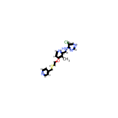 Cc1c(OCCSCc2ccncc2)ccnc1CNc1ncncc1Cl